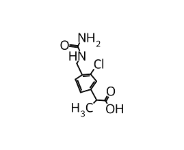 CC(C(=O)O)c1ccc(CNC(N)=O)c(Cl)c1